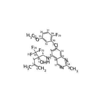 C=C(C)CC(O)(CNc1cccc2nc(C)ncc12)C(F)(F)F.COc1ccc(F)c(Cl)c1